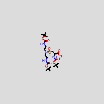 CC(C)(C)OC(=O)NCCN(CCNC(=O)OC(C)(C)C)S(=O)(=O)C[C@H](NC(=O)OC(C)(C)C)C(=O)O